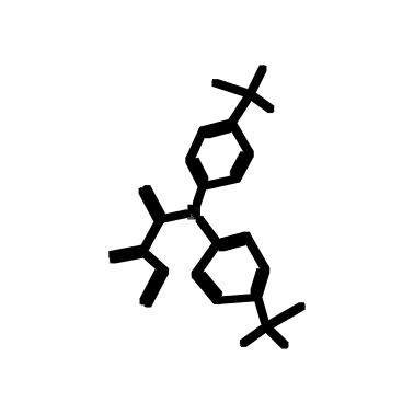 C=CC(=C)C(=C)N(c1ccc(C(C)(C)C)cc1)c1ccc(C(C)(C)C)cc1